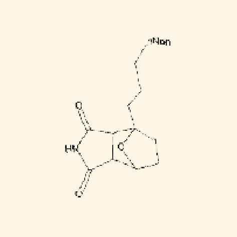 CCCCCCCCCCCCC12CCC(O1)C1C(=O)NC(=O)C12